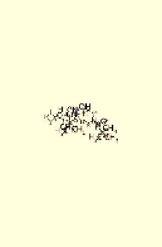 C=C(OC1CCC1)[C@](C)(S/C(=N\C)C1(O)CCN(C(=O)OC(C)(C)C)CC1)C(C)C